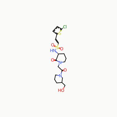 O=C(CN1CCC[C@H](NS(=O)(=O)/C=C/c2ccc(Cl)s2)C1=O)N1CCCC(CO)C1